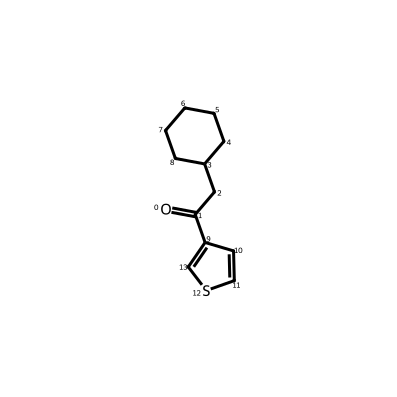 O=C(CC1CCCCC1)c1ccsc1